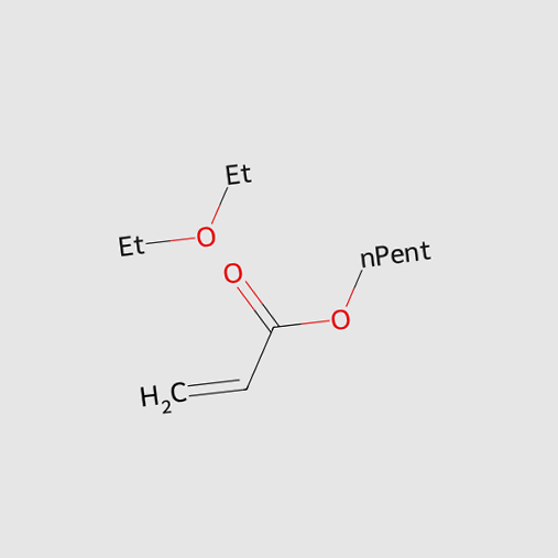 C=CC(=O)OCCCCC.CCOCC